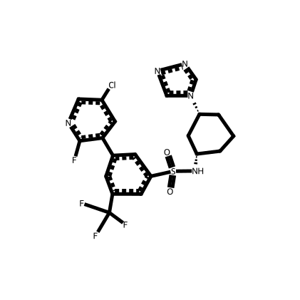 O=S(=O)(N[C@H]1CCC[C@@H](n2cnnc2)C1)c1cc(-c2cc(Cl)cnc2F)cc(C(F)(F)F)c1